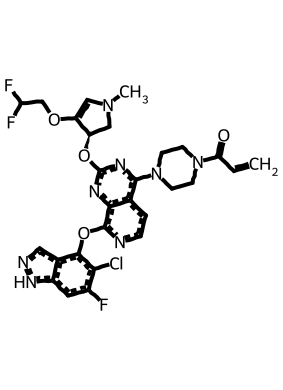 C=CC(=O)N1CCN(c2nc(O[C@@H]3CN(C)C=C3OCC(F)F)nc3c(Oc4c(Cl)c(F)cc5[nH]ncc45)nccc23)CC1